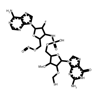 COC1C(COP(=O)(O)NC2C(COP=O)OC(n3cnc4c(N)ncnc43)C2F)OC(n2cnc3c(=O)[nH]c(N)nc32)C1OCS